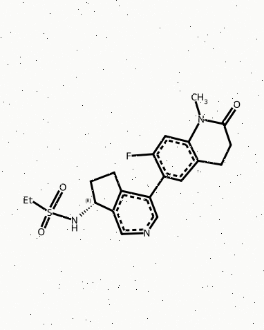 CCS(=O)(=O)N[C@@H]1CCc2c(-c3cc4c(cc3F)N(C)C(=O)CC4)cncc21